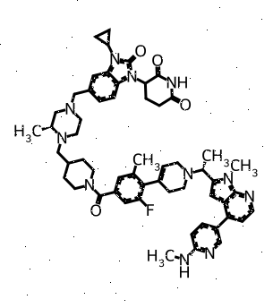 CNc1ccc(-c2ccnc3c2cc([C@H](C)N2CC=C(c4c(C)cc(C(=O)N5CCC(CN6CCN(Cc7ccc8c(c7)n(C7CC7)c(=O)n8C7CCC(=O)NC7=O)C[C@@H]6C)CC5)cc4F)CC2)n3C)cn1